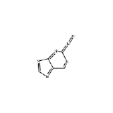 [N-]=[N+]=C1N=CC2=NC=NC2=N1